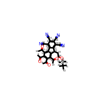 CC(=O)c1c(C(C)=O)c(C(C)=O)c2c(c1C(C)=O)-c1c(C#N)c(C#N)c(C#N)c(C#N)c1C2CCO[Si](C)(C)C(C)(C)C